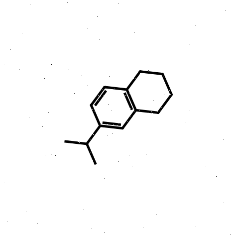 CC(C)c1ccc2c(c1)CCCC2